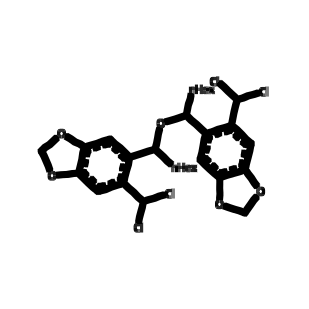 CCCCCCC(OC(CCCCCC)c1cc2c(cc1C(Cl)Cl)OCO2)c1cc2c(cc1C(Cl)Cl)OCO2